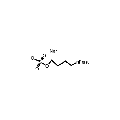 CCCCCCCCCOS(=O)(=O)[O-].[Na+]